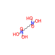 O=C(CCCCCCC(=O)N(CCO)CCO)N(CCO)CCO